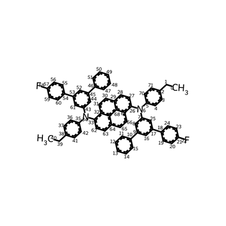 CCc1ccc(N(c2cc(-c3ccccc3)cc(-c3ccc(F)cc3)c2)c2ccc3ccc4c(N(c5ccc(CC)cc5)c5cc(-c6ccccc6)cc(-c6ccc(F)cc6)c5)ccc5ccc2c3c54)cc1